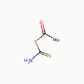 NC(=S)S[C](=O)[Mo]